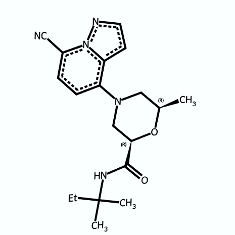 CCC(C)(C)NC(=O)[C@H]1CN(c2ccc(C#N)n3nccc23)C[C@@H](C)O1